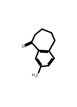 Cc1ccc2c(c1)C(=O)CCCC2